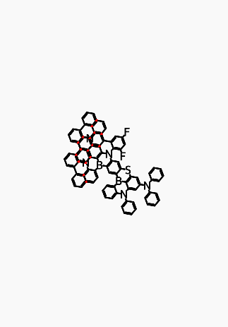 Fc1cc(F)c(N2c3cc4c(cc3B3c5ccccc5N(c5c(-c6ccccc6)cccc5-c5ccccc5)c5cc(N(c6ccccc6)c6c(-c7ccccc7)cccc6-c6ccccc6)cc2c53)B2c3ccccc3N(c3ccccc3)c3cc(N(c5ccccc5)c5ccccc5)cc(c32)S4)c(-c2ccccc2)c1